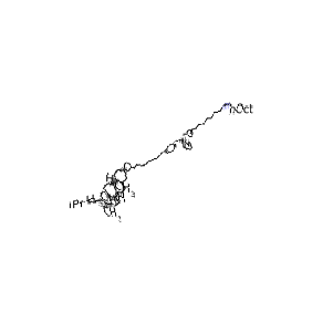 CCCCCCCC/C=C\CCCCCCCCOC[C@@H](COCCCCCCO[C@H]1CC[C@@]2(C)C(=CC[C@H]3[C@@H]4CC[C@H]([C@H](C)CCCC(C)C)[C@@]4(C)CC[C@@H]32)C1)N1CCCC1